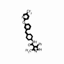 Cc1n[nH]c(C(C)C)c1C(=O)NC1CCC(=Cc2cccc(Oc3ccc(C(F)(F)F)cn3)c2)CC1